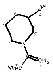 C=C(OC)N1CCCC(C(C)C)C1